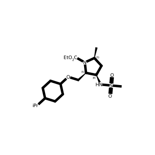 CCOC(=O)N1[C@H](COC2CCC(C(C)C)CC2)[C@H](NS(C)(=O)=O)C[C@@H]1C